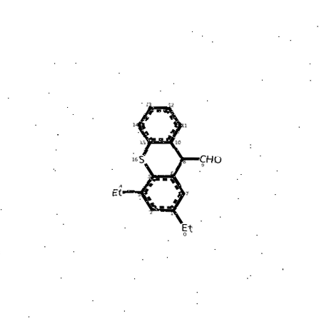 CCc1cc(CC)c2c(c1)C(C=O)c1ccccc1S2